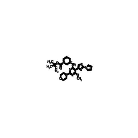 COc1nc(N2CCOCC2)nc(N[C@@H]2CCCN(C(=O)OC(C)(C)C)C2)c1-c1csc(-n2cccc2)n1